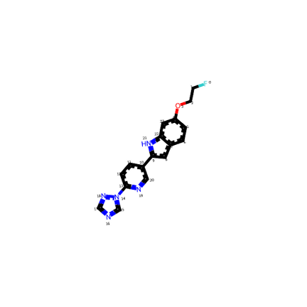 FCCOc1ccc2cc(-c3ccc(-n4cncn4)nc3)[nH]c2c1